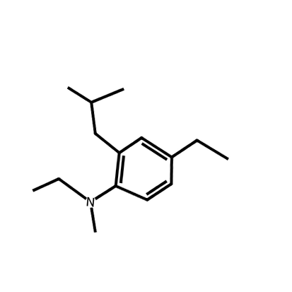 CCc1ccc(N(C)CC)c(CC(C)C)c1